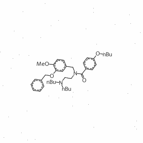 CCCCOc1ccc(C(=O)N(CCN(CCCC)CCCC)Cc2ccc(OC)c(OCc3ccccc3)c2)cc1